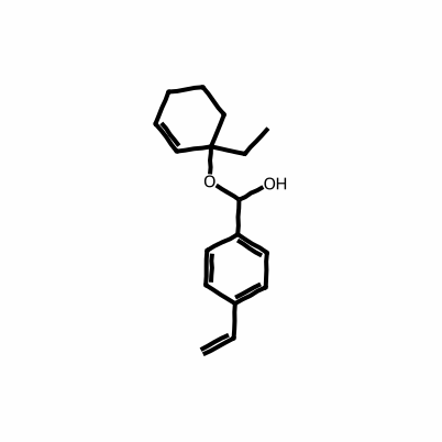 C=Cc1ccc(C(O)OC2(CC)C=CCCC2)cc1